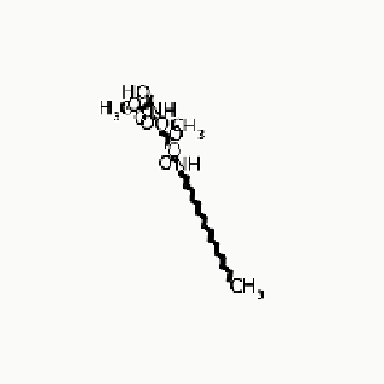 CCCCCCCCCCCCCCCCCCNC(=O)OCC(COC(=O)NC(CO)C(=O)OC)OC